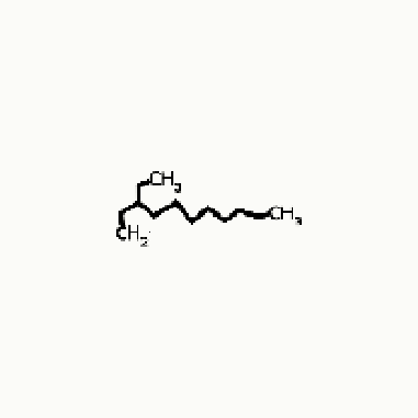 [CH2]CC(CC)CCCCCCCC